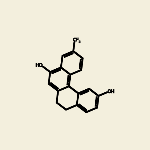 Oc1ccc2c(c1)-c1c(cc(O)c3cc(C(F)(F)F)ccc13)CC2